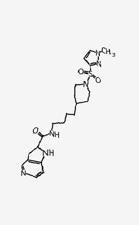 Cn1ccc(S(=O)(=O)N2CCC(CCCCNC(=O)C3Cc4cnccc4N3)CC2)n1